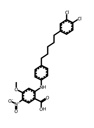 COc1cc(Nc2ccc(CCCCCc3ccc(Cl)c(Cl)c3)cc2)c(C(=O)O)cc1[N+](=O)[O-]